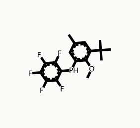 COc1c(Pc2c(F)c(F)c(F)c(F)c2F)cc(C)cc1C(C)(C)C